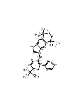 CC1(C)CCC(C)(C)c2cc3c(NC4=C(c5ccccc5)CC(C(C)(C)C)C=C4)csc3cc21